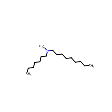 CCCCCCCCCN(C)CCCCCCC